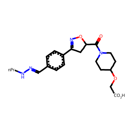 CCCNN=Cc1ccc(C2=NOC(C(=O)N3CCC(OCC(=O)O)CC3)C2)cc1